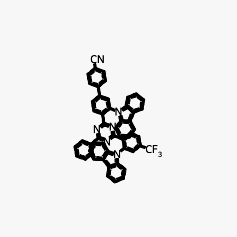 N#Cc1ccc(-c2ccc(-c3nc(-c4ccccc4)nc(-c4ccc(C(F)(F)F)cc4-n4c5ccccc5c5ccccc54)n3)c(-n3c4ccccc4c4ccccc43)c2)cc1